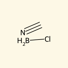 BCl.C#N